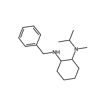 CC(C)N(C)C1CCCCC1NCc1ccccc1